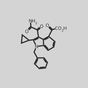 NC(=O)C(=O)c1c(C2CC2)n(Cc2ccccc2)c2cccc(C(=O)C(=O)O)c12